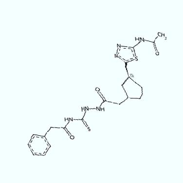 CC(=O)Nc1nnc([C@H]2CCC(CC(=O)NNC(=S)NC(=O)Cc3ccccc3)C2)s1